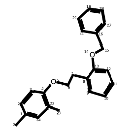 Cc1ccc(OCCc2ccccc2OCc2ccccc2)c(C)c1